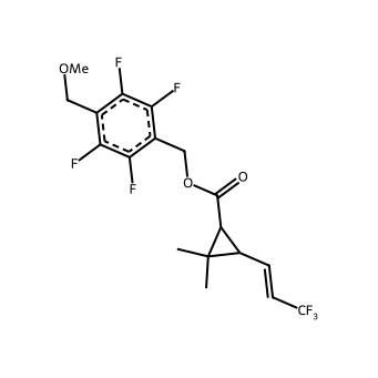 COCc1c(F)c(F)c(COC(=O)C2C(C=CC(F)(F)F)C2(C)C)c(F)c1F